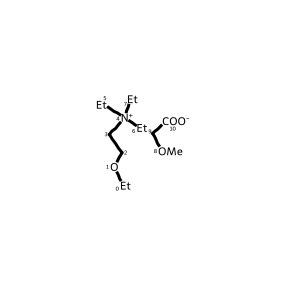 CCOCC[N+](CC)(CC)CC.COCC(=O)[O-]